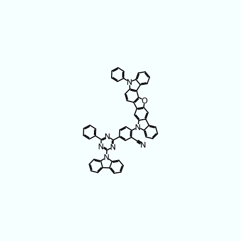 N#Cc1cc(-c2nc(-c3ccccc3)nc(-n3c4ccccc4c4ccccc43)n2)ccc1-n1c2ccccc2c2cc3oc4c(ccc5c4c4ccccc4n5-c4ccccc4)c3cc21